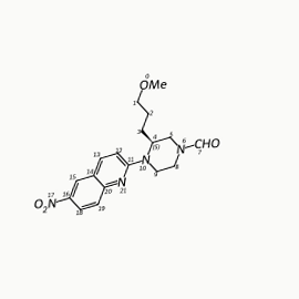 COCCC[C@H]1CN(C=O)CCN1c1ccc2cc([N+](=O)[O-])ccc2n1